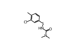 Cc1ccc(SNC(=O)N(C)C)cc1Cl